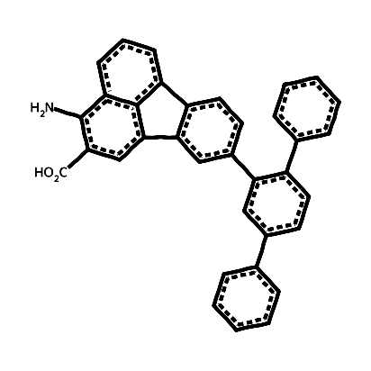 Nc1c(C(=O)O)cc2c3c(cccc13)-c1ccc(-c3cc(-c4ccccc4)ccc3-c3ccccc3)cc1-2